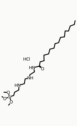 CCCCCCCCCCCCCCCC(=O)NCCNCCNCCC[Si](OC)(OC)OC.Cl